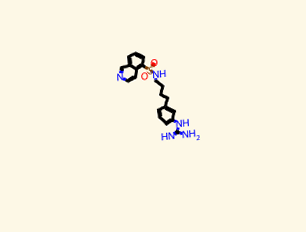 N=C(N)Nc1cccc(CCCCNS(=O)(=O)c2cccc3cnccc23)c1